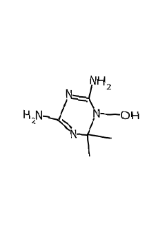 CC1(C)N=C(N)N=C(N)N1O